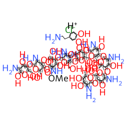 COC(=O)N[C@H]1[C@H](O[C@H]2[C@H](O)[C@@H](N)[C@H](O[C@H]3[C@H](O)[C@@H](N)[C@H](O)O[C@@H]3CO)O[C@@H]2CO)O[C@H](CO)[C@@H](O[C@@H]2O[C@H](CO)[C@@H](O[C@@H]3O[C@H](CO)[C@@H](O[C@@H]4O[C@H](CO)[C@@H](O[C@@H]5O[C@H](CO)[C@@H](O[C@@H]6O[C@H](CO)[C@@H](O[C@@H]7O[C@H](CO)[C@@H](O)[C@H](O)[C@H]7N)[C@H](O)[C@H]6N)[C@H](O)[C@H]5N)[C@H](O)[C@H]4N)[C@H](O)[C@H]3N)[C@H](O)[C@H]2N)[C@@H]1O.NCCc1ccc(O)c(O)c1.[Cl-].[H+]